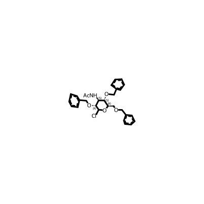 CC(=O)N[C@H]1[C@H](OCc2ccccc2)[C@@H](COCc2ccccc2)OC(Cl)[C@@H]1OCc1ccccc1